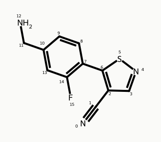 N#Cc1cnsc1-c1ccc(CN)cc1F